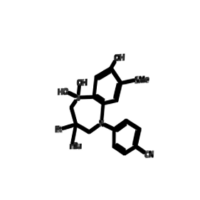 CCCCC1(CC)CN(c2ccc(C#N)cc2)c2cc(SC)c(O)cc2S(O)(O)C1